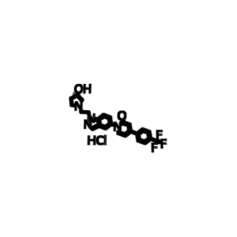 Cl.O=c1cc(-c2ccc(C(F)(F)F)cc2)ccn1-c1ccc2c(cnn2CCN2CC[C@@H](O)C2)c1